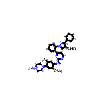 COc1cc(N2CCN(C(C)=O)CC2)c([N+](=O)[O-])cc1Nc1nccc(-c2ccccc2-n2cc(C=O)c(-c3ccccc3)n2)n1